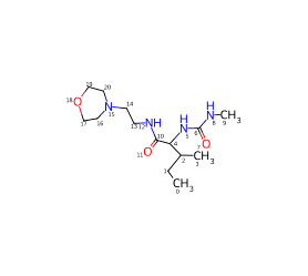 CCC(C)C(NC(=O)NC)C(=O)NCCN1CCOCC1